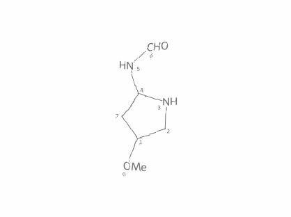 COC1CNC(NC=O)C1